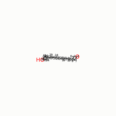 CC1=CC(=O)CC(C)(C)/C1=C/C=C(C)/C=C/C=C(C)/C=C/C=C/C(C)=C/C=C/C(C)=C/C=C1\C(C)=C[C@@H](O)CC1(C)C